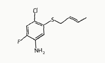 C/C=C/CSc1cc(N)c(F)cc1Cl